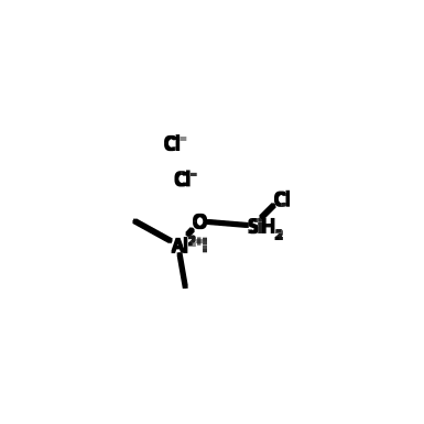 [CH3][Al+2]([CH3])[O][SiH2]Cl.[Cl-].[Cl-]